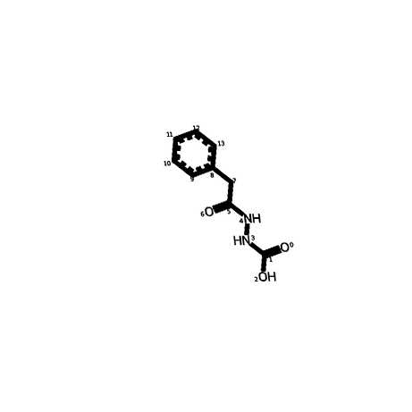 O=C(O)NNC(=O)Cc1ccccc1